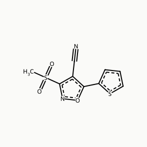 CS(=O)(=O)c1noc(-c2cccs2)c1C#N